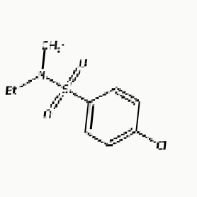 [CH2]N(CC)S(=O)(=O)c1ccc(Cl)cc1